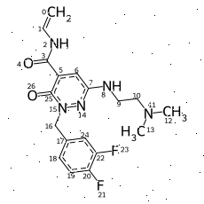 C=CNC(=O)c1cc(NCCN(C)C)nn(Cc2ccc(F)c(F)c2)c1=O